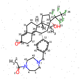 CC(=O)N1CCCN(Cc2ccc([C@H]3C[C@@]4(C)[C@@H](CC[C@@]4(O)C(F)(F)C(F)(F)F)[C@@H]4CCC5=CC(=O)CCC5=C43)cc2)CC1